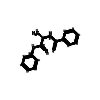 C[C@H](NC(=O)c1ccccc1)C(=O)Oc1ccccc1